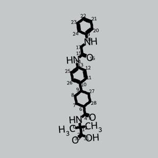 CC(C)(NC(=O)C1CCC(c2ccc(NC(=O)CNc3ccccc3)cc2)CC1)C(=O)O